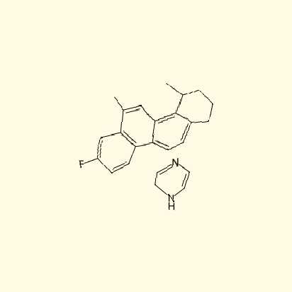 C1=CNCC=N1.Cc1cc2c3c(ccc2c2ccc(F)cc12)CCCC3C